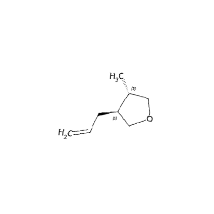 C=CC[C@@H]1COC[C@H]1C